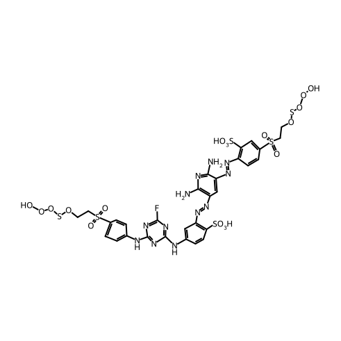 Nc1nc(N)c(/N=N/c2ccc(S(=O)(=O)CCOSOOO)cc2S(=O)(=O)O)cc1/N=N/c1cc(Nc2nc(F)nc(Nc3ccc(S(=O)(=O)CCOSOOO)cc3)n2)ccc1S(=O)(=O)O